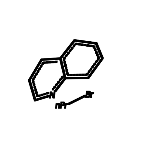 CCCBr.c1ccc2ncccc2c1